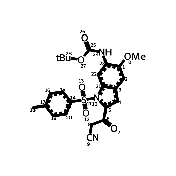 COc1cc2cc(C(=O)CC#N)n(S(=O)(=O)c3ccc(C)cc3)c2cc1NC(=O)OC(C)(C)C